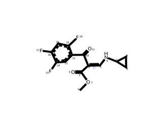 COC(=O)/C(=C/NC1CC1)C(=O)c1cc(F)c(F)cc1F